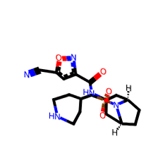 N#Cc1cc(C(=O)NC2C[C@H]3CC[C@@H](C2)N3S(=O)(=O)CC2CCNCC2)no1